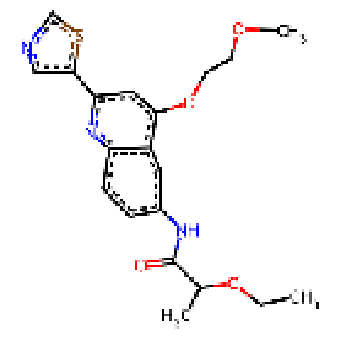 CCOC(C)C(=O)Nc1ccc2nc(-c3cncs3)cc(OCCOC)c2c1